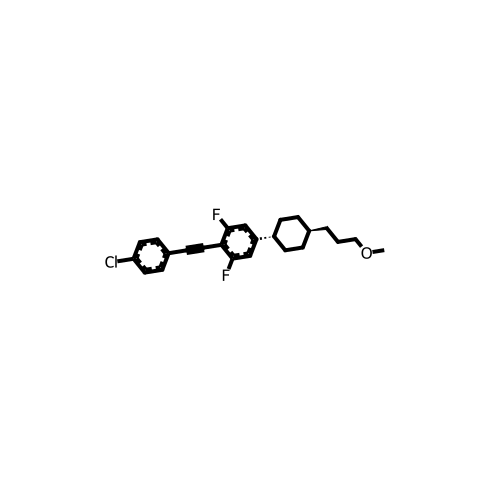 COCCC[C@H]1CC[C@H](c2cc(F)c(C#Cc3ccc(Cl)cc3)c(F)c2)CC1